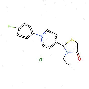 CC(C)CN1C(=O)CSC1c1cc[n+](-c2ccc(F)cc2)cc1.[Cl-]